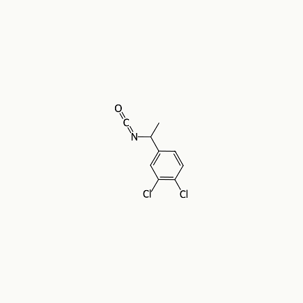 CC(N=C=O)c1ccc(Cl)c(Cl)c1